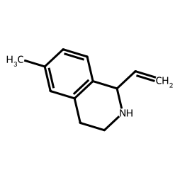 C=CC1NCCc2cc(C)ccc21